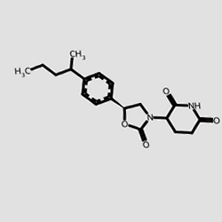 CCCC(C)c1ccc([C@H]2CN(C3CCC(=O)NC3=O)C(=O)O2)cc1